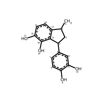 CC1CC(c2ccc(O)c(O)c2)c2c1ccc(O)c2O